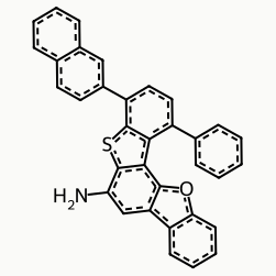 Nc1cc2c3ccccc3oc2c2c1sc1c(-c3ccc4ccccc4c3)ccc(-c3ccccc3)c12